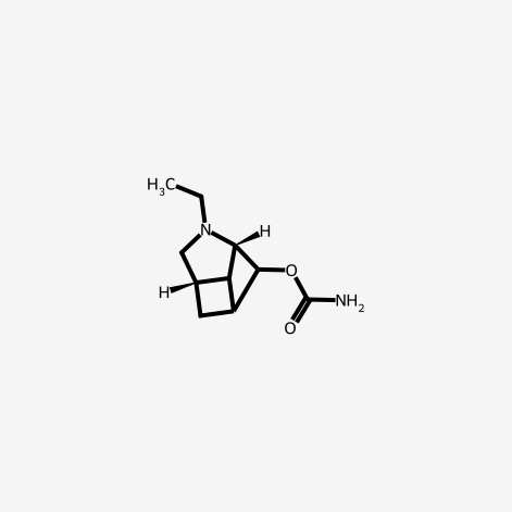 CCN1C[C@H]2CC3C(OC(N)=O)[C@@H]1C32